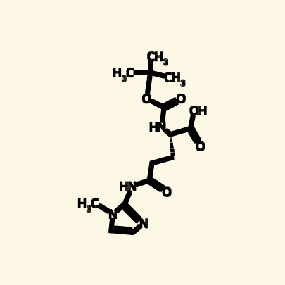 Cn1ccnc1NC(=O)CC[C@H](NC(=O)OC(C)(C)C)C(=O)O